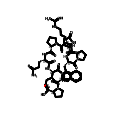 CCC(C)[C@H](NC(=O)[C@H](CCC(N)=O)NC(=O)[C@@H]1CCCN1C(=O)[C@H](CCCNC(=N)N)NC(=O)[C@@H]1CCCN1C(=O)[C@H](Cc1c[nH]c2ccccc12)NC(=O)[C@@H]1CCC(=O)N1)C(=O)N1CCC[C@H]1C(=O)N1CCC[C@H]1C(=O)O